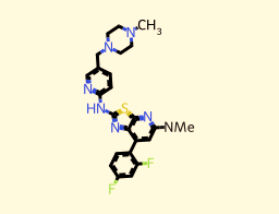 CNc1cc(-c2ccc(F)cc2F)c2nc(Nc3ccc(CN4CCN(C)CC4)cn3)sc2n1